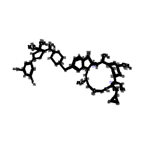 C=C1/N=C2\Nc3ccc(CN4CCN(C(=C)C5CN(c6cc(F)cc(F)c6)CC5(C)C)CC4)cc3N2C[C@H](C)CCCC/C(NC2CC2)=C(/C=N)c2cc1cc(C)n2